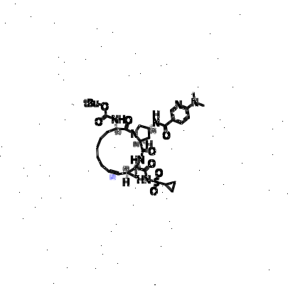 CN(C)c1ccc(C(=O)N[C@@H]2C[C@H]3C(=O)N[C@]4(C(=O)NS(=O)(=O)C5CC5)C[C@H]4/C=C\CCCCC[C@H](NC(=O)OC(C)(C)C)C(=O)N3C2)cn1